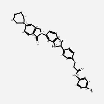 O=C(COc1ccc(C2Nc3ccc(N4Cc5cc(N6CCCCC6)ccc5C4=O)cc3N2)cc1)Nc1ccc(Cl)cc1